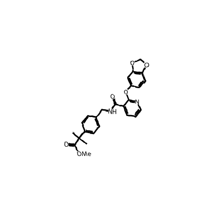 COC(=O)C(C)(C)c1ccc(CNC(=O)c2cccnc2Oc2ccc3c(c2)OCO3)cc1